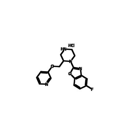 Cl.Fc1ccc2oc(N3CCNCC3COc3cccnc3)nc2c1